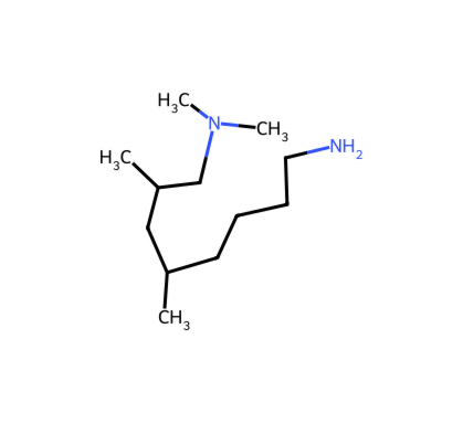 CC(CCCCN)CC(C)CN(C)C